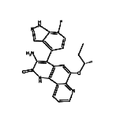 CC[C@H](C)Oc1cc2c(-c3ccc(F)c4[nH]ncc34)c(N)c(=O)[nH]c2c2cccnc12